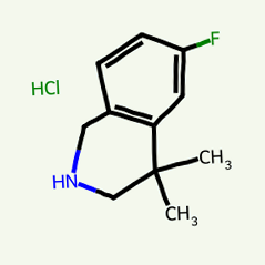 CC1(C)CNCc2ccc(F)cc21.Cl